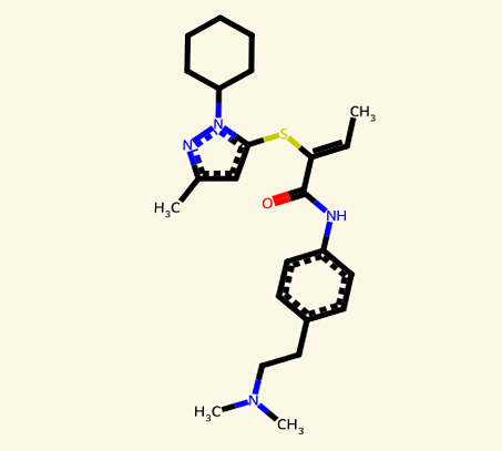 C/C=C(\Sc1cc(C)nn1C1CCCCC1)C(=O)Nc1ccc(CCN(C)C)cc1